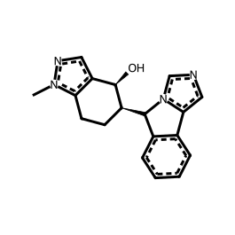 Cn1ncc2c1CC[C@H](C1c3ccccc3-c3cncn31)[C@@H]2O